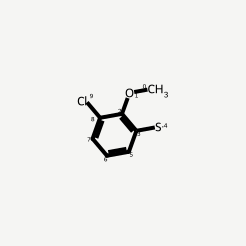 COc1c([S])cccc1Cl